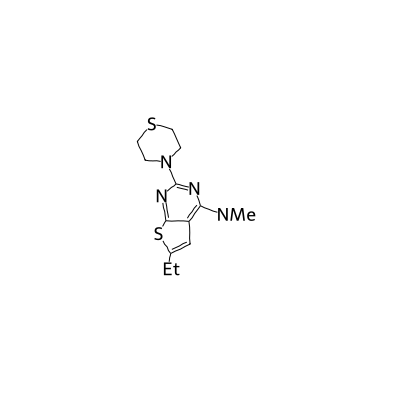 CCc1cc2c(NC)nc(N3CCSCC3)nc2s1